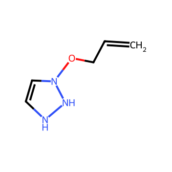 C=CCON1C=CNN1